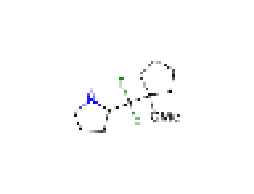 COC1(C(F)(F)C2CCCN2C)CCCC1